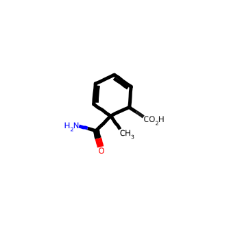 CC1(C(N)=O)C=CC=CC1C(=O)O